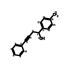 OC(CC#Cc1ccccc1)c1ccc(C(F)(F)F)cc1